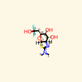 CN(C)C1=N[C@@H]2[C@@H](O)[C@H](O)[C@H](CC(O)(F)F)O[C@@H]2S1